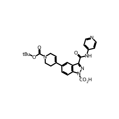 CC(C)(C)OC(=O)N1CC=C(c2ccc3c(c2)c(C(=O)Nc2ccncc2)nn3C(=O)O)CC1